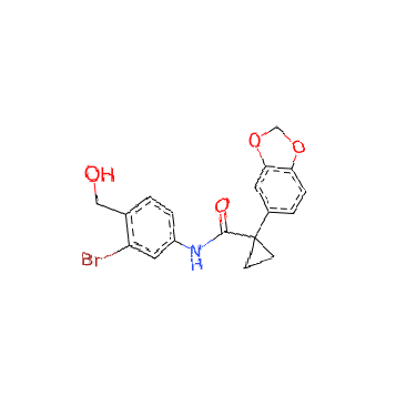 O=C(Nc1ccc(CO)c(Br)c1)C1(c2ccc3c(c2)OCO3)CC1